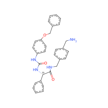 NCc1ccc(CNC(=O)[C@@H](NC(=O)Nc2ccc(OCc3ccccc3)cc2)c2ccccc2)cc1